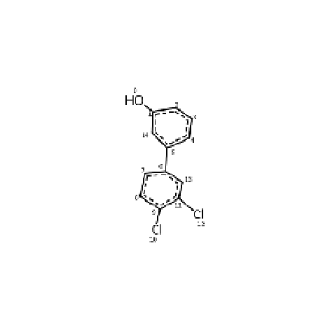 Oc1cccc(-c2ccc(Cl)c(Cl)c2)c1